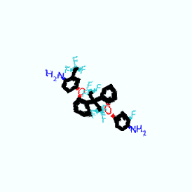 Nc1ccc(Oc2ccccc2C(c2ccccc2Oc2ccc(N)c(C(F)(F)F)c2)(C(F)(F)F)C(F)(F)F)cc1F